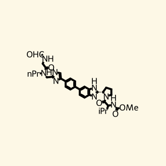 CCCN(Cc1nc(-c2ccc(-c3ccc4nc([C@@H]5CCCN5C(=O)C(NC(=O)OC)C(C)C)[nH]c4c3)cc2)c[nH]1)C(=O)CNC=O